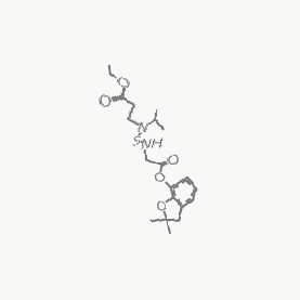 CCOC(=O)CCN(SNCC(=O)Oc1cccc2c1OC(C)(C)C2)C(C)C